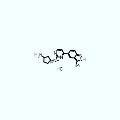 CC(C)c1[nH]nc2ccc(-c3ccnc(N[C@H]4CCC(N)C4)n3)cc12.Cl